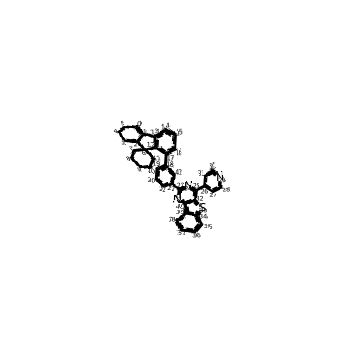 C1=C2C(=CCC1)C1(CCCCC1)c1c2cccc1-c1cccc(-c2nc(-c3ccncc3)c3sc4ccccc4c3n2)c1